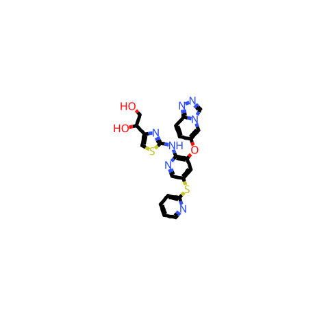 OCC(O)c1csc(Nc2ncc(Sc3ccccn3)cc2Oc2ccc3nncn3c2)n1